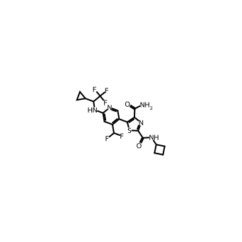 NC(=O)c1nc(C(=O)NC2CCC2)sc1-c1cnc(NC(C2CC2)C(F)(F)F)cc1C(F)F